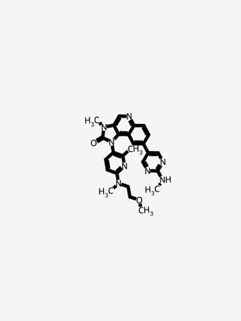 CNc1ncc(-c2ccc3ncc4c(c3c2)n(-c2ccc(N(C)CCOC)nc2C)c(=O)n4C)cn1